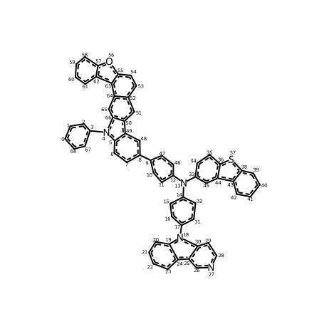 c1ccc(-n2c3ccc(-c4ccc(N(c5ccc(-n6c7ccccc7c7cnccc76)cc5)c5ccc6sc7ccccc7c6c5)cc4)cc3c3cc4ccc5oc6ccccc6c5c4cc32)cc1